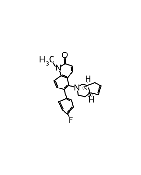 CCn1c(=O)ccc2c(N3CC[C@H]4C=CC[C@@H]4C3)c(-c3ccc(F)cc3)ccc21